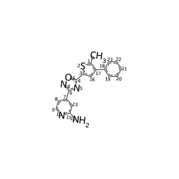 Cc1sc(-c2nc(-c3ccnc(N)c3)no2)cc1-c1ccccc1